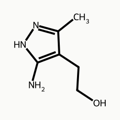 Cc1n[nH]c(N)c1CCO